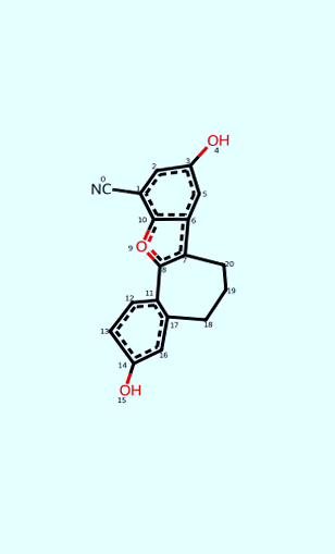 N#Cc1cc(O)cc2c3c(oc12)-c1ccc(O)cc1CCC3